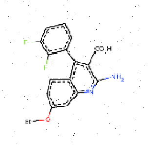 CCOc1ccc2c(-c3cccc(F)c3F)c(C(=O)O)c(N)nc2c1